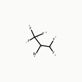 FC(F)C(Br)C(F)(F)F